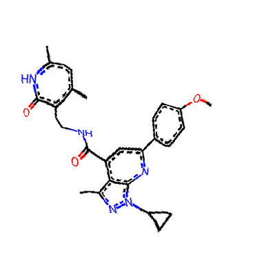 COc1ccc(-c2cc(C(=O)NCc3c(C)cc(C)[nH]c3=O)c3c(C)nn(C4CC4)c3n2)cc1